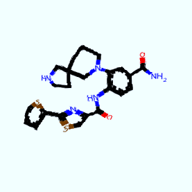 NC(=O)c1ccc(NC(=O)c2csc(-c3cccs3)n2)c(N2CCCC3(CCNC3)C2)c1